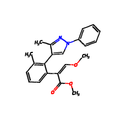 COC=C(C(=O)OC)c1cccc(C)c1-c1cn(-c2ccccc2)nc1C